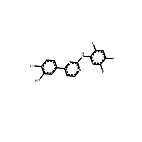 Oc1ccc(-c2ccnc(Nc3nc(F)c(F)cc3F)n2)cc1O